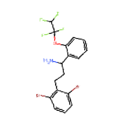 NC(CCc1c(Br)cccc1Br)c1ccccc1OC(F)(F)C(F)F